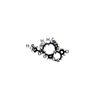 CO[C@H]1/C=C/C[C@H](C)CS(=O)(NC(=O)c2cnn(C)c2)=NC(=O)c2ccc3c(c2)N(Cc2ccc(Cl)cc2CCSCO3)C[C@@H]2CC[C@H]21